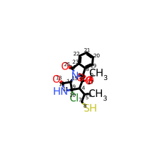 COC(=O)C(C(C)CS)C1(Cl)NC(=O)C1N1C(=O)c2ccccc2C1=O